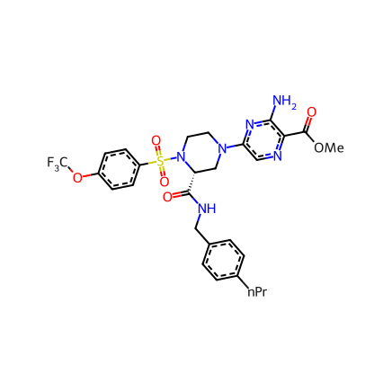 CCCc1ccc(CNC(=O)[C@H]2CN(c3cnc(C(=O)OC)c(N)n3)CCN2S(=O)(=O)c2ccc(OC(F)(F)F)cc2)cc1